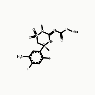 CN1C(=NC(=O)OC(C)(C)C)N[C@](C)(c2cc(N)c(F)cc2F)CS1(=O)=O